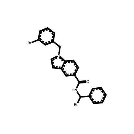 CCC(NC(=O)c1ccc2c(ccn2Cc2cccc(Br)c2)c1)c1ccccc1